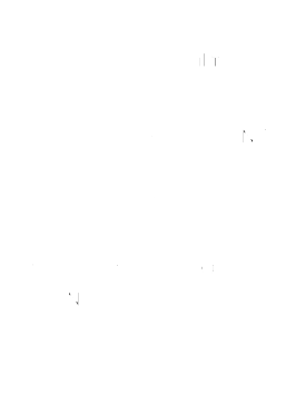 CC(CN(C)C)Oc1ccc(C(C)C)nc1